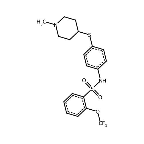 CN1CCC(Sc2ccc(NS(=O)(=O)c3ccccc3OC(F)(F)F)cc2)CC1